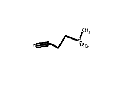 C[SiH]([O])CCC#N